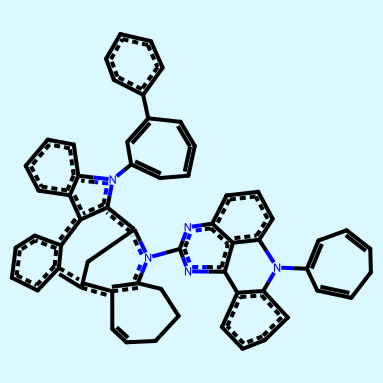 C1=CC=C(n2c3ccccc3c3c4ccccc4c4c5c(n(-c6nc7c8c(cccc8n6)N(C6=CC=CCC=C6)c6ccccc6-7)c(c32)C4)CCCC=C5)C=C(c2ccccc2)C=1